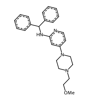 COCCN1CCN(c2ccnc(NC(c3ccccc3)c3ccccc3)c2)CC1